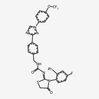 CC(C)c1cc(F)ccc1N1C(=O)CS/C1=N\C(=O)NCc1ccc(-c2ncn(-c3ccc(OC(F)(F)F)cc3)n2)cc1